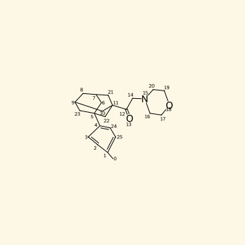 Cc1ccc(C23CC4CC(CC(C(=O)CN5CCOCC5)(C4)C2)C3)cc1